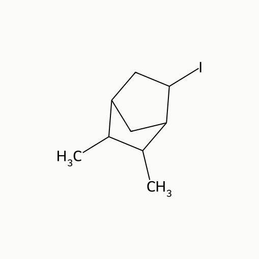 CC1C2CC(I)C(C2)C1C